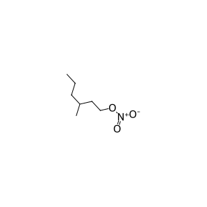 CCCC(C)CCO[N+](=O)[O-]